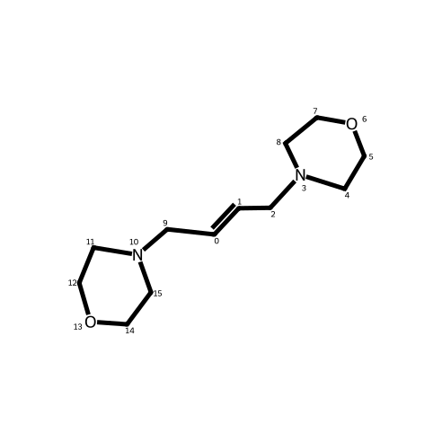 C(=CCN1CCOCC1)CN1CCOCC1